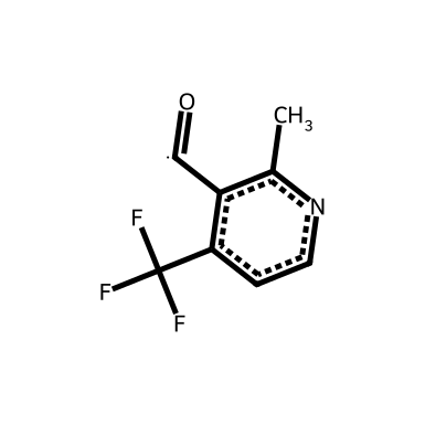 Cc1nccc(C(F)(F)F)c1[C]=O